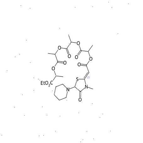 CCOC(=O)C(C)OC(=O)C(C)OC(=O)C(C)OC(=O)C(C)OC(=O)/C=C1\SC(N2CCCCC2)C(=O)N1C